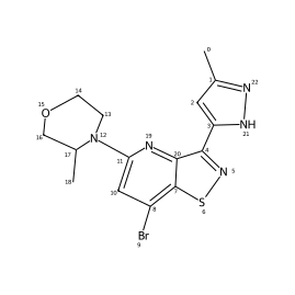 Cc1cc(-c2nsc3c(Br)cc(N4CCOCC4C)nc23)[nH]n1